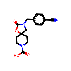 N#Cc1ccc(CN2CC3(CCN(C(=O)O)CC3)OC2=O)cc1